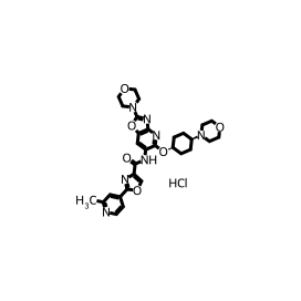 Cc1cc(-c2nc(C(=O)Nc3cc4oc(N5CCOCC5)nc4nc3O[C@H]3CC[C@H](N4CCOCC4)CC3)co2)ccn1.Cl